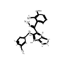 COc1cccc(C(=NN)c2nc3nonc3nc2Nc2cccc(Cl)c2)c1O